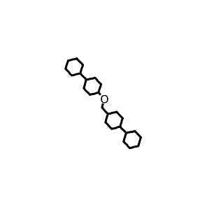 C1CCC(C2CCC(COC3CCC(C4CCCCC4)CC3)CC2)CC1